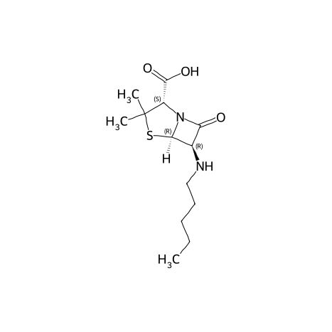 CCCCCN[C@@H]1C(=O)N2[C@@H]1SC(C)(C)[C@@H]2C(=O)O